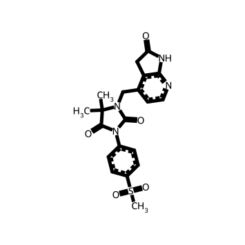 CC1(C)C(=O)N(c2ccc(S(C)(=O)=O)cc2)C(=O)N1Cc1ccnc2c1CC(=O)N2